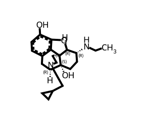 CCN[C@@H]1CC[C@@]2(O)[C@H]3Cc4ccc(O)c5c4[C@@]2(CCN3CC2CC2)[C@H]1O5